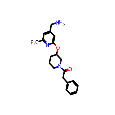 NCc1cc(OC2CCCN(C(=O)Cc3ccccc3)C2)nc(C(F)(F)F)c1